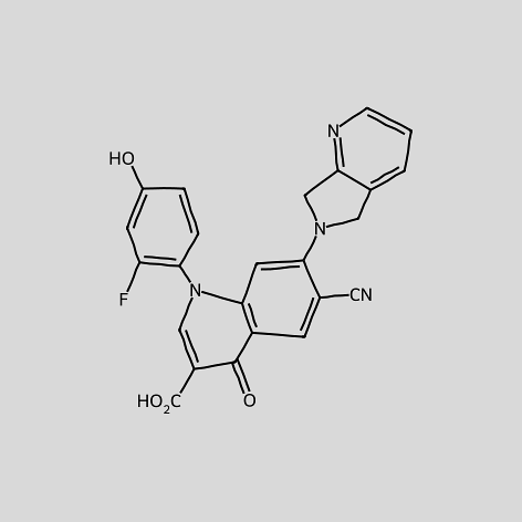 N#Cc1cc2c(=O)c(C(=O)O)cn(-c3ccc(O)cc3F)c2cc1N1Cc2cccnc2C1